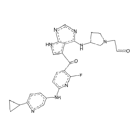 O=CCN1CCC(Nc2ncnc3[nH]cc(C(=O)c4ccc(Nc5ccc(C6CC6)nc5)nc4F)c23)C1